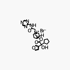 O=C(C[N+]12CCC(CC1)[C@@H](OC(=O)C(O)(c1ccoc1)C1CCCC1)C2)Nc1ncncn1.[Br-]